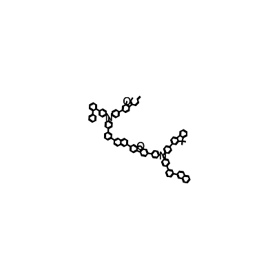 C=C/C=C\c1c(C)oc2cc(-c3ccc(N(c4ccc(-c5cccc(-c6ccc7cc(-c8ccc9c(c8)oc8cc(-c%10ccc(N(c%11ccc(-c%12cccc(-c%13ccc%14ccccc%14c%13)c%12)cc%11)c%11ccc(-c%12ccc%13c(c%12)C(C)(C)c%12ccccc%12-%13)cc%11)cc%10)ccc89)ccc7c6)c5)cc4)c4ccc(-c5ccccc5-c5ccccc5)cc4)cc3)ccc12